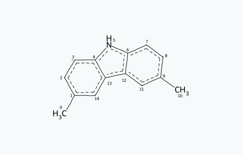 Cc1c[c]c2[nH]c3ccc(C)cc3c2c1